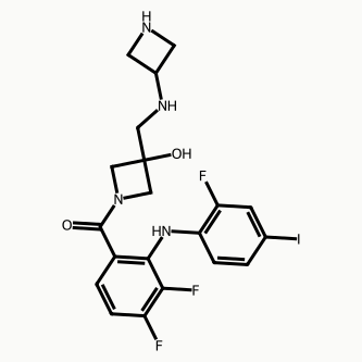 O=C(c1ccc(F)c(F)c1Nc1ccc(I)cc1F)N1CC(O)(CNC2CNC2)C1